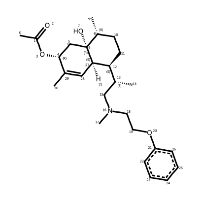 CC(=O)O[C@@H]1[C][C@@]2(O)[C@H](C)CC[C@@H]([C@H](C)CN(C)CCOc3ccccc3)[C@H]2C=C1C